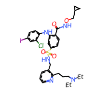 CCN(CC)CCCc1ncccc1CNS(=O)(=O)c1ccc(C(=O)NOCC2CC2)c(Nc2ccc(I)cc2Cl)c1